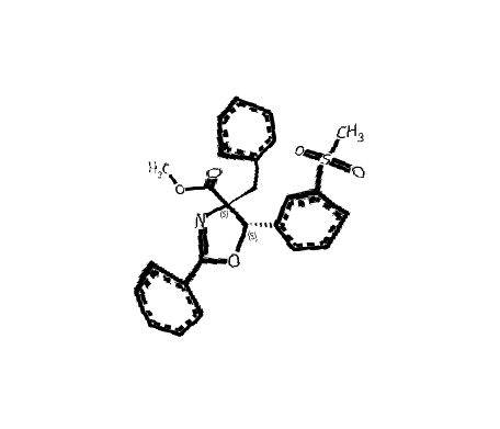 COC(=O)[C@@]1(Cc2ccccc2)N=C(c2ccccc2)O[C@H]1c1cccc(S(C)(=O)=O)c1